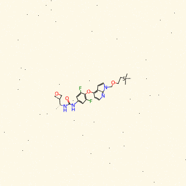 C[C@@H](NC(=O)Nc1cc(F)c(Oc2ccnc3c2ccn3COCC[Si](C)(C)C)c(F)c1)C1COC1